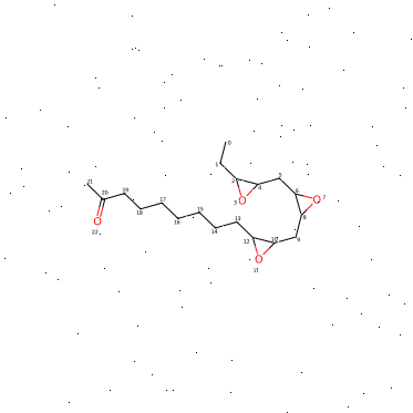 CCC1OC1CC1OC1CC1OC1CCCCCCCC(C)=O